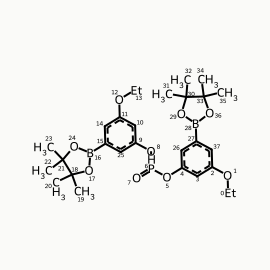 CCOc1cc(O[PH](=O)Oc2cc(OCC)cc(B3OC(C)(C)C(C)(C)O3)c2)cc(B2OC(C)(C)C(C)(C)O2)c1